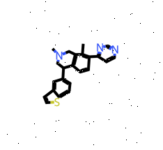 Cc1c(-c2ccncn2)ccc2c1CN(C)CC2c1ccc2sccc2c1